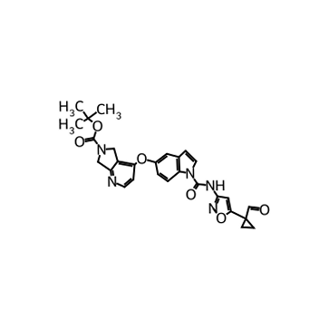 CC(C)(C)OC(=O)N1Cc2nccc(Oc3ccc4c(ccn4C(=O)Nc4cc(C5(C=O)CC5)on4)c3)c2C1